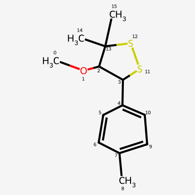 COC1C(c2ccc(C)cc2)SSC1(C)C